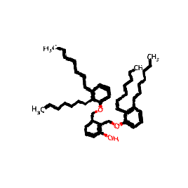 CCCCCCCc1cccc(OCc2cccc(O)c2COc2cccc(CCCCCCC)c2CCCCCCC)c1CCCCCCC